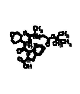 C[C@H](NCC(=O)OC(C)(C)C)C(=O)N[C@H](C(=O)N1c2ncccc2C[C@H]1C(=O)O)C1CCOCC1